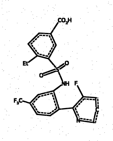 CCc1ccc(C(=O)O)cc1S(=O)(=O)Nc1cc(C(F)(F)F)ccc1-c1ncccc1F